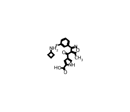 Cc1onc(-c2cccc(F)c2)c1C(=O)c1c[nH]c(C(=O)O)c1.NC1CCC1